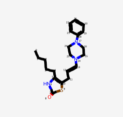 CCCCCc1[nH]c(=O)sc1CC=CN1CCN(c2ccccc2)CC1